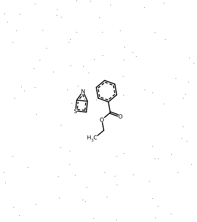 CCOC(=O)c1ccccc1.c1sc2nc1-2